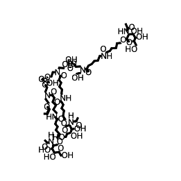 C/C=C\OCCN(CCOP(=O)(O)OCCN(CCOP(=O)(O)OCCN(CCO)C(=O)CCCCCNC(=O)CCCCCOC1OC(CO)C(O)C(O)C1NC(C)=O)C(=O)CCCCCNC(=O)CCCCCOC1OC(CO)C(O)C(O)C1NC(C)=O)C(=O)CCCCCNC(=O)CCCCCOC1OC(CO)C(O)C(O)C1NC(C)=O